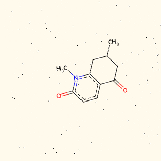 CC1CC(=O)c2ccc(=O)n(C)c2C1